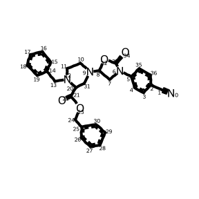 N#Cc1ccc(N2CC(N3CCN(Cc4ccccc4)C(C(=O)OCc4ccccc4)C3)OC2=O)cc1